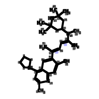 Cc1cc(N2CCCC2)c2cc(/C(N)=C/C=C(\N)N(C)C3CC(C)(C)NC(C)(C)C3)c(O)cc2n1